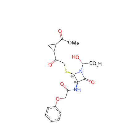 COC(=O)C1CC1C(=O)CS[C@@H]1[C@H](NC(=O)COc2ccccc2)C(=O)N1C(O)C(=O)O